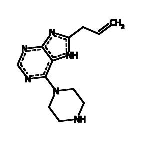 C=CCc1nc2ncnc(N3CCNCC3)c2[nH]1